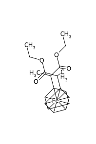 CCOC(=O)C(C)[C]12[CH]3[CH]4[CH]5[CH]1[Fe]45321678[CH]2[CH]1[CH]6[C]7(C(C)C(=O)OCC)[CH]28